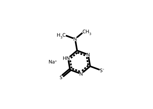 CN(C)c1nc([S-])nc(=S)[nH]1.[Na+]